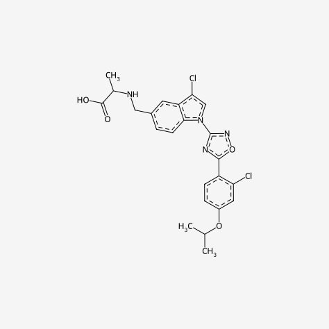 CC(C)Oc1ccc(-c2nc(-n3cc(Cl)c4cc(CNC(C)C(=O)O)ccc43)no2)c(Cl)c1